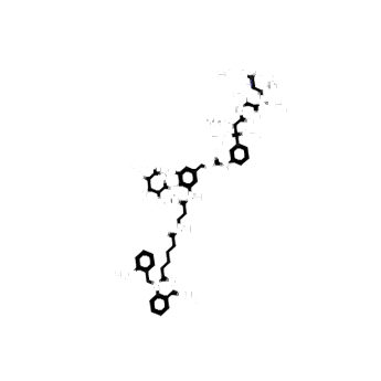 C=Cc1ccccc1N(Cc1ccccc1C)C(=O)CCCCC(=O)NCCC(=O)Nc1cc(COC(=O)Nc2cccc(C(C)(C)[C@H](NC)C(=O)N[C@H](C(=O)N(C)[C@H](/C=C(\C)C(=O)O)C(C)C)C(C)(C)C)c2)cc(C)c1OC1OC(C(=O)O)C(O)C(O)C1O